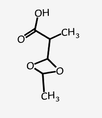 CC1OC(C(C)C(=O)O)O1